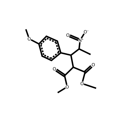 COC(=O)C(C(=O)OC)C(c1ccc(OC)cc1)C(C)[N+](=O)[O-]